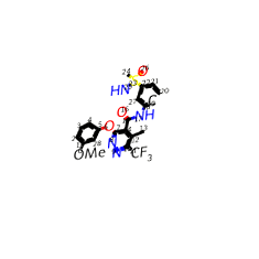 COc1cccc(Oc2nnc(C(F)(F)F)c(C)c2C(=O)Nc2cccc(S(C)(=N)=O)c2)c1